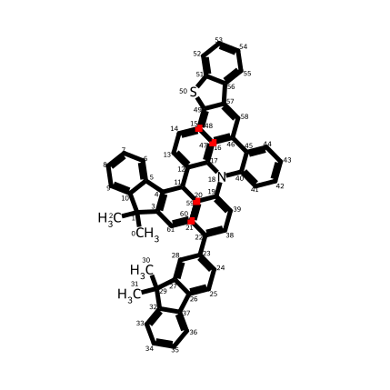 CC1(C)C2=C(c3ccccc31)C(c1ccccc1N(c1ccc(-c3ccc4c(c3)C(C)(C)c3ccccc3-4)cc1)c1ccccc1-c1ccc3sc4ccccc4c3c1)CC=C2